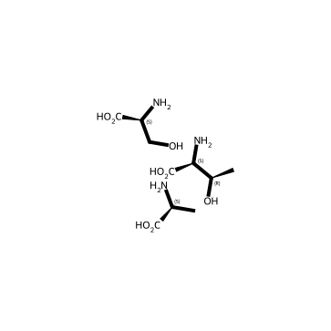 C[C@@H](O)[C@H](N)C(=O)O.C[C@H](N)C(=O)O.N[C@@H](CO)C(=O)O